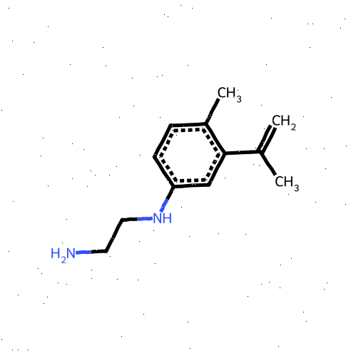 C=C(C)c1cc(NCCN)ccc1C